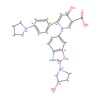 O=C(O)c1cn(-c2ccc3nc(N4CCC(O)C4)oc3c2)c(-c2ccc(N3CCCC3)cc2)cc1=O